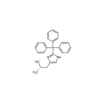 C[C@H](O)Cc1c[nH]c(C(c2ccccc2)(c2ccccc2)c2ccccc2)n1